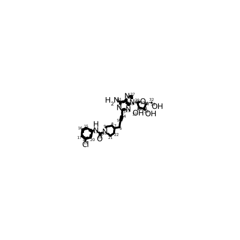 Nc1nc(C#CCC2CCN(C(=O)Nc3cccc(Cl)c3)CC2)nc2c1ncn2[C@@H]1O[C@H](CO)C(O)[C@@H]1O